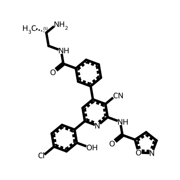 C[C@H](N)CNC(=O)c1cccc(-c2cc(-c3ccc(Cl)cc3O)nc(NC(=O)c3ccno3)c2C#N)c1